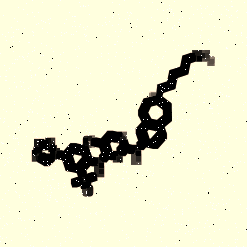 CP(C)(=O)c1cc(-n2cnnn2)ccc1Nc1nc(Nc2ccc3c(c2)CC[C@@H](CCCCCN)CC3)ncc1Cl